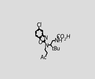 CC(=O)CCN(c1nc2cc(Cl)ccc2o1)C(CNC(=O)O)C(C)(C)C